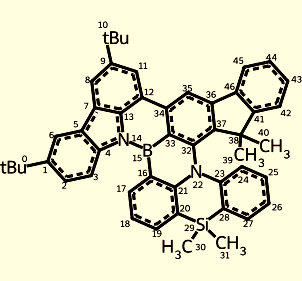 CC(C)(C)c1ccc2c(c1)c1cc(C(C)(C)C)cc3c1n2B1c2cccc4c2N(c2ccccc2[Si]4(C)C)c2c1c-3cc1c2C(C)(C)c2ccccc2-1